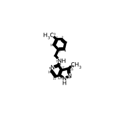 Cc1cccc(CNc2nccc3[nH]nc(C)c23)c1